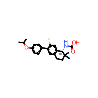 CC(C)Oc1ccc(-c2cc3c(cc2F)[C@H](NC(=O)O)C(C)(C)CC3)cc1